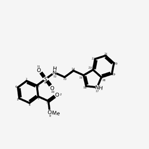 COC(=O)c1ccccc1S(=O)(=O)NCCc1c[nH]c2ccccc12